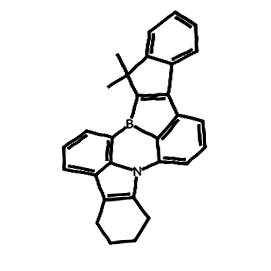 CC1(C)C2=C(c3ccccc31)c1cccc3c1B2c1cccc2c4c(n-3c12)CCCC4